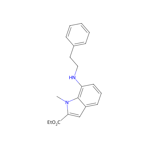 CCOC(=O)c1cc2cccc(NCCc3ccccc3)c2n1C